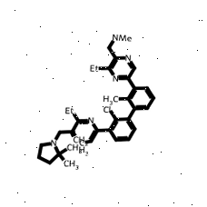 C=C(CN1CCCC1(C)C)/C(CC)=N\C(=C/C)c1cccc(-c2cccc(-c3cnc(CNC)c(CC)n3)c2C)c1Cl